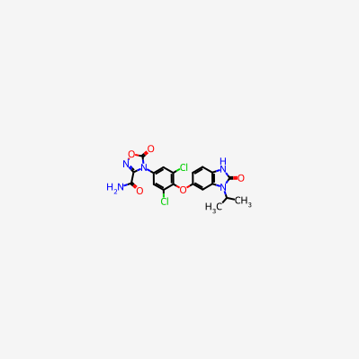 CC(C)n1c(=O)[nH]c2ccc(Oc3c(Cl)cc(-n4c(C(N)=O)noc4=O)cc3Cl)cc21